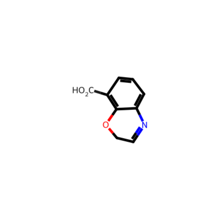 O=C(O)c1cccc2c1OCC=N2